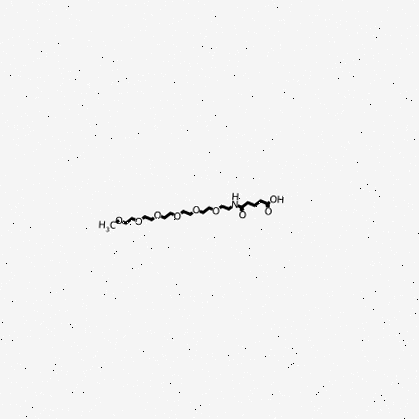 COCCOCCOCCOCCOCCOCCNC(=O)CCCC(=O)O